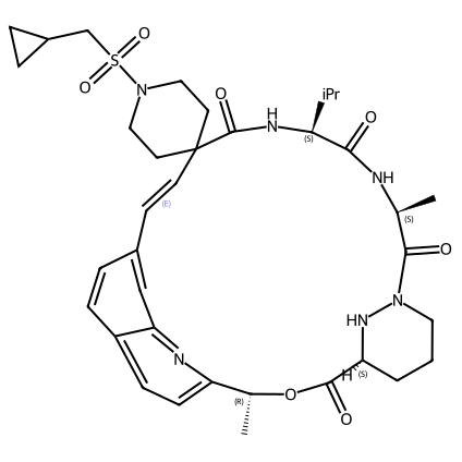 CC(C)[C@@H]1NC(=O)C2(/C=C/c3ccc4ccc(nc4c3)[C@@H](C)OC(=O)[C@@H]3CCCN(N3)C(=O)[C@H](C)NC1=O)CCN(S(=O)(=O)CC1CC1)CC2